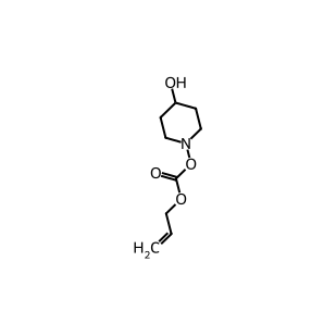 C=CCOC(=O)ON1CCC(O)CC1